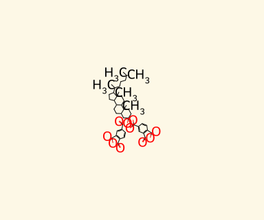 CC(C)CCCC(C)C1CCC2C3CCC4CC(OC(=O)c5ccc6c(c5)C(=O)OC6=O)(OC(=O)c5ccc6c(c5)C(=O)OC6=O)CCC4(C)C3CCC12C